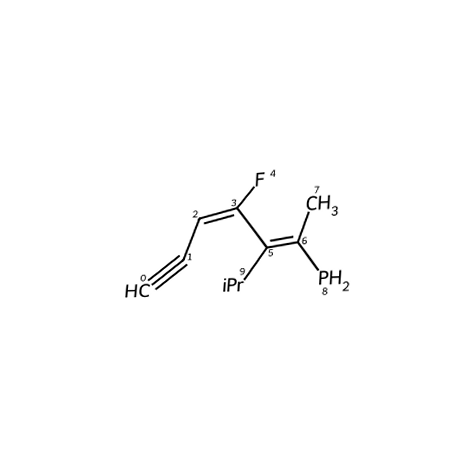 C#C/C=C(F)\C(=C(/C)P)C(C)C